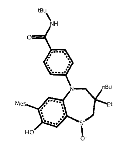 CCCCC1(CC)CN(c2ccc(C(=O)NC(C)(C)C)cc2)c2cc(SC)c(O)cc2[S+]([O-])C1